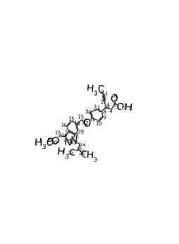 CC#C[C@@H](CC(=O)O)c1ccc(OCc2ccc3c(COC)nn(CC(C)C)c3c2)cc1